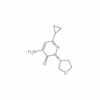 Nc1cc(C2CC2)nn([C@H]2CCOC2)c1=O